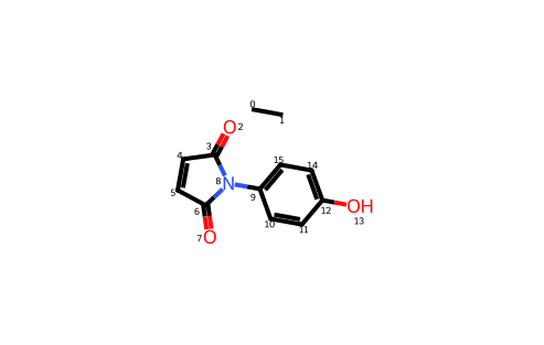 CC.O=C1C=CC(=O)N1c1ccc(O)cc1